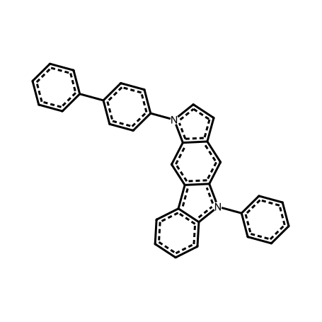 c1ccc(-c2ccc(-n3ccc4cc5c(cc43)c3ccccc3n5-c3ccccc3)cc2)cc1